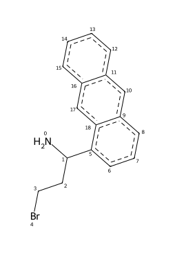 NC(CCBr)c1cccc2cc3ccccc3cc12